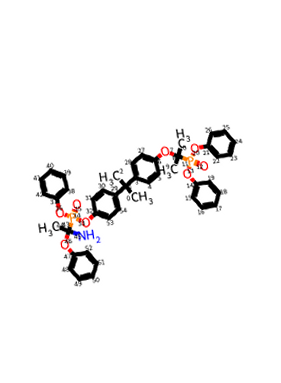 CC(C)(c1ccc(OC(C)(C)P(=O)(Oc2ccccc2)Oc2ccccc2)cc1)c1ccc(OP(=O)(Oc2ccccc2)C(C)(N)Oc2ccccc2)cc1